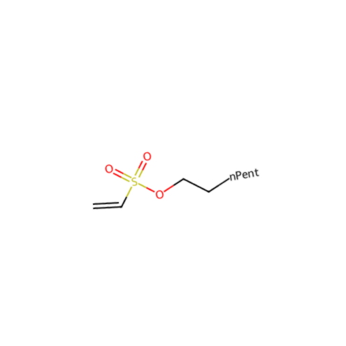 C=CS(=O)(=O)OCCCCCCC